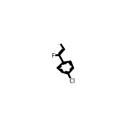 [CH2]C=C(F)c1ccc(Cl)cc1